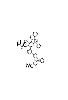 C=Cc1c(-c2cccc(-c3ccc4c(c3)c3cc(C#N)ccc3n4-c3ccccc3)c2)cc2c(-c3ccccc3)nc3c4ccccc4ccc3c2c1C=C